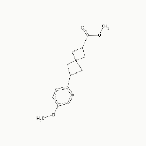 COC(=O)C1CC2(C1)CC(c1ccc(OC)cc1)C2